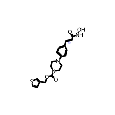 O=C(/C=C/c1ccc(N2CCN(C(=O)OCc3ccsc3)CC2)cc1)NO